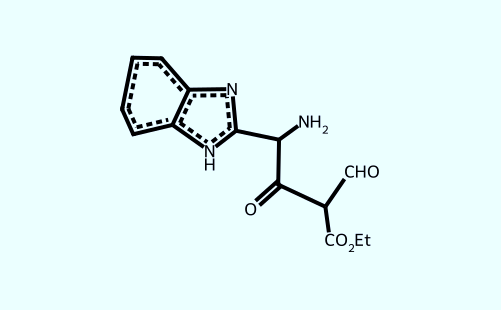 CCOC(=O)C(C=O)C(=O)C(N)c1nc2ccccc2[nH]1